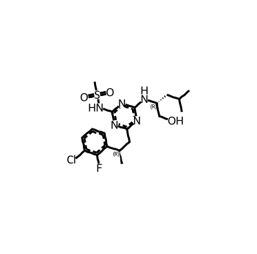 CC(C)C[C@H](CO)Nc1nc(C[C@@H](C)c2cccc(Cl)c2F)nc(NS(C)(=O)=O)n1